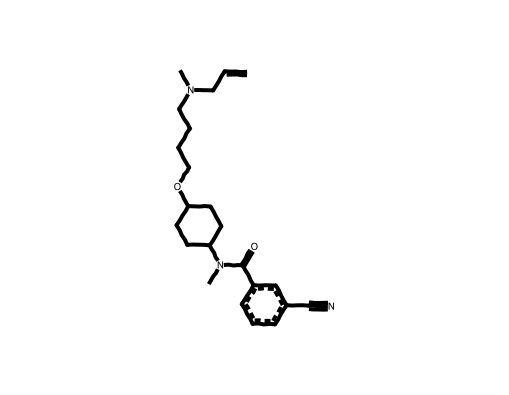 C=CCN(C)CCCCOC1CCC(N(C)C(=O)c2cccc(C#N)c2)CC1